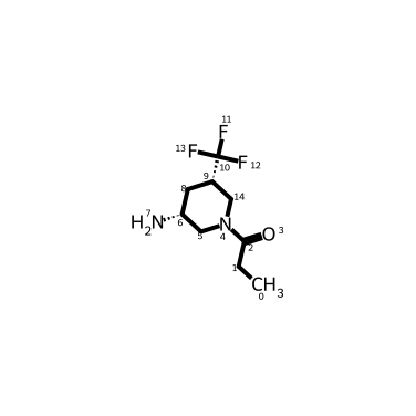 CCC(=O)N1C[C@H](N)C[C@H](C(F)(F)F)C1